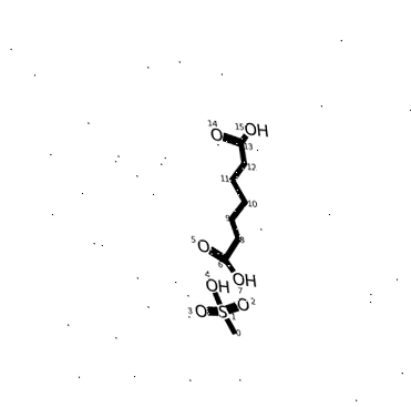 CS(=O)(=O)O.O=C(O)CCCCCC(=O)O